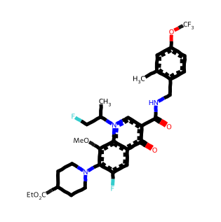 CCOC(=O)C1CCN(c2c(F)cc3c(=O)c(C(=O)NCc4ccc(OC(F)(F)F)cc4C)cn(C(C)CF)c3c2OC)CC1